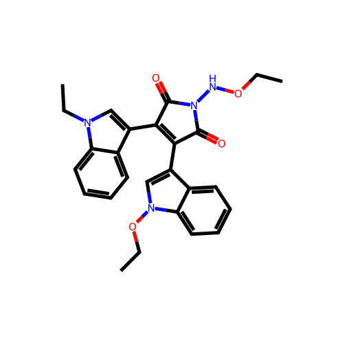 CCONN1C(=O)C(c2cn(CC)c3ccccc23)=C(c2cn(OCC)c3ccccc23)C1=O